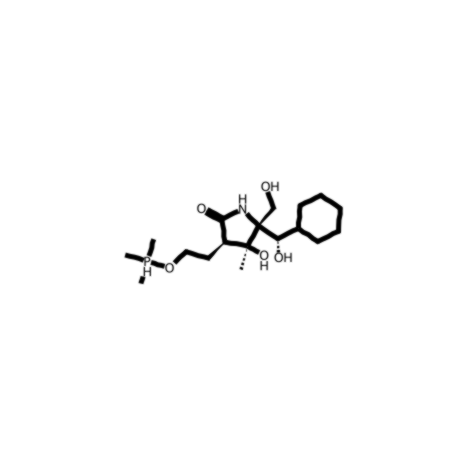 C[C@]1(O)[C@@H](CCO[PH](C)(C)C)C(=O)N[C@]1(CO)[C@@H](O)C1CCCCC1